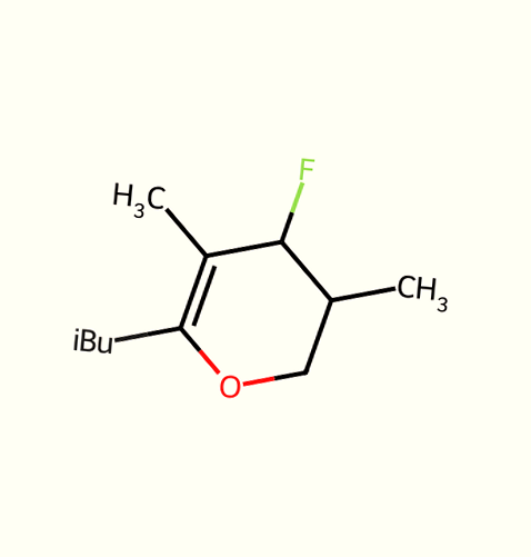 CCC(C)C1=C(C)C(F)C(C)CO1